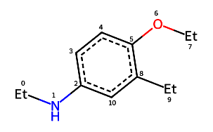 CCNc1ccc(OCC)c(CC)c1